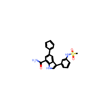 CS(=O)(=O)Nc1cccc(-c2c[nH]c3c(C(N)=O)cc(-c4ccccc4)cc23)c1